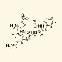 C=C(NC(CN)CCC(=O)O)C(CCCN)NC(=O)CNC(=O)C(Cc1ccccc1)NC=O